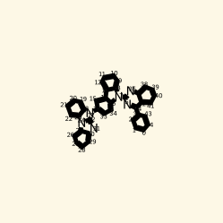 c1ccc(-c2nc(-n3c4ccccc4c4cc(-n5c6ccccc6n6c7ccccc7nc56)ccc43)nc3ccccc23)cc1